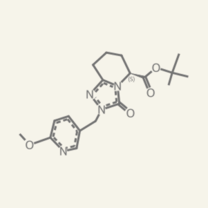 COc1ccc(Cn2nc3n(c2=O)[C@H](C(=O)OC(C)(C)C)CCC3)cn1